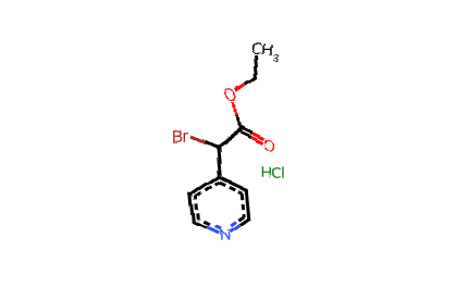 CCOC(=O)C(Br)c1ccncc1.Cl